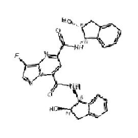 O=C(N[C@H]1c2ccccc2C[C@H]1O)c1cc(C(=O)N[C@H]2c3ccccc3C[C@H]2O)n2ncc(F)c2n1